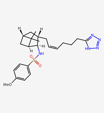 COc1ccc(S(=O)(=O)N[C@@H]2[C@@H](C/C=C\CCCc3nnn[nH]3)C[C@H]3C[C@H]2C3(C)C)cc1